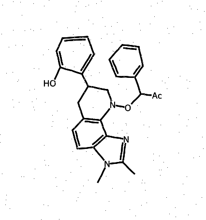 CC(=O)C(ON1CC(c2ccccc2O)Cc2ccc3c(nc(C)n3C)c21)c1ccccc1